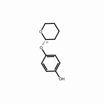 Oc1ccc(O[C@H]2CCCCO2)cc1